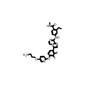 CCc1cc(Nc2nccn3c(-c4ccc(Oc5ccc(OCCCN)cn5)c(F)c4F)cnc23)ccc1C(=O)NC